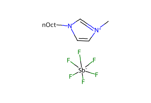 CCCCCCCCn1cc[n+](C)c1.[F][Sb-]([F])([F])([F])([F])[F]